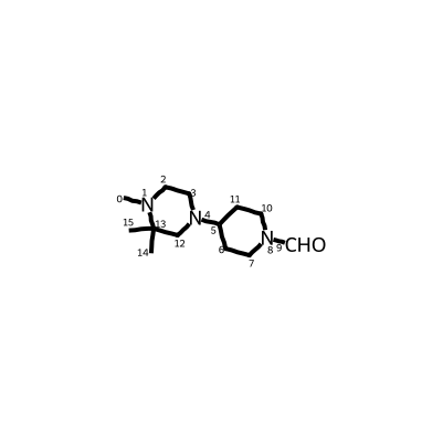 CN1CCN(C2CCN(C=O)CC2)CC1(C)C